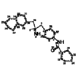 CC(N)(Cc1ccc(NC(=O)c2ccccc2)cc1)Cc1ccc2ccccc2c1